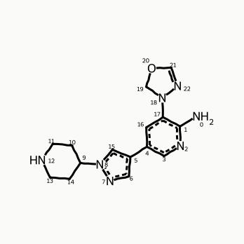 Nc1ncc(-c2cnn(C3CCNCC3)c2)cc1N1COC=N1